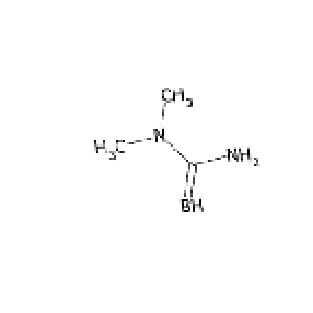 B=C(N)N(C)C